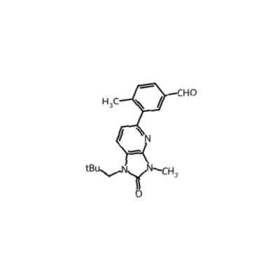 Cc1ccc(C=O)cc1-c1ccc2c(n1)n(C)c(=O)n2CC(C)(C)C